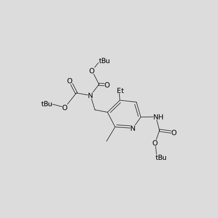 CCc1cc(NC(=O)OC(C)(C)C)nc(C)c1CN(C(=O)OC(C)(C)C)C(=O)OC(C)(C)C